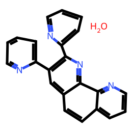 O.c1ccc(-c2cc3ccc4cccnc4c3nc2-c2ccccn2)nc1